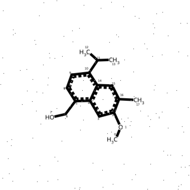 COc1cc2c(CO)ccc(C(C)C)c2cc1C